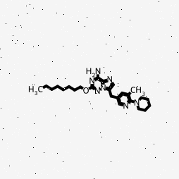 CCCCCCCCOc1nc(N)c2ncc(Cc3cnc(N4CCCCC4)c(C)c3)n2n1